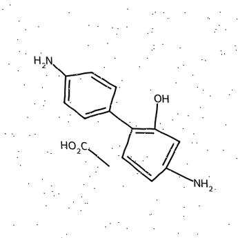 CC(=O)O.Nc1ccc(-c2ccc(N)cc2O)cc1